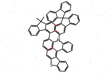 CC1(C)c2ccccc2-c2c(-c3ccccc3N(c3ccc4c(c3)-c3ccccc3C43c4ccccc4-c4ccccc43)c3ccccc3-c3cccc4sc5ccccc5c34)cccc21